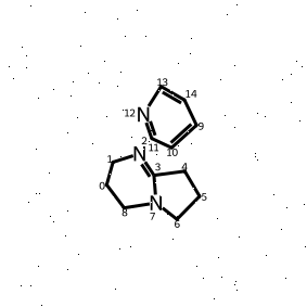 C1CN=C2CCCN2C1.c1ccncc1